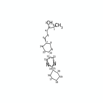 CCC(C)CCC[C@H]1CC[C@H](c2cnc(C3CCCCC3)nc2)CC1